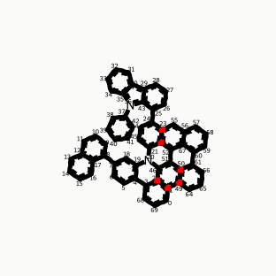 c1ccc(-c2ccc(-c3cccc4ccccc34)cc2N(c2ccc(-c3cccc4c5ccccc5n(-c5ccccc5)c34)cc2)c2ccccc2-c2cccc3cccc(-c4ccccc4)c23)cc1